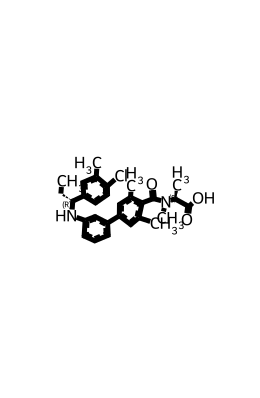 CC[C@@H](Nc1cccc(-c2cc(C)c(C(=O)N(C)[C@@H](C)C(=O)O)c(C)c2)c1)c1ccc(Cl)c(C)c1